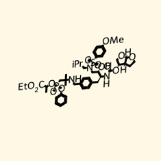 CCOC(=O)C(C)OP(=O)(CC(C)(C)NCc1ccc(C[C@H](NC(=O)O[C@H]2CO[C@H]3OCC[C@H]32)[C@H](O)CN(CC(C)C)S(=O)(=O)c2ccc(OC)cc2)cc1)Oc1ccccc1